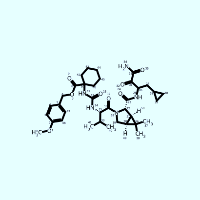 COc1ccc(COC(=O)C2(NC(=O)N[C@H](C(=O)N3C[C@H]4[C@@H]([C@H]3C(=O)NC(CC3CC3)C(=O)C(N)=O)C4(C)C)C(C)C)CCCCC2)cc1